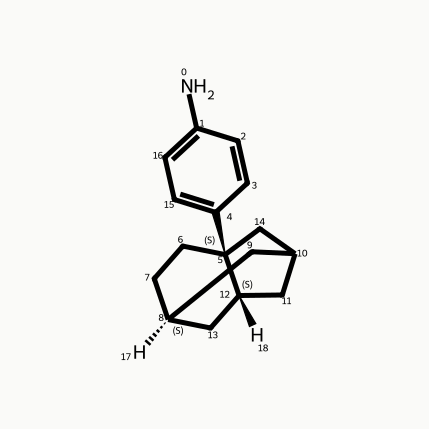 Nc1ccc([C@]23CC[C@H]4CC(C[C@@H]2C4)C3)cc1